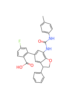 Cc1ccc(NC(=O)Nc2cc(-c3cc(F)ccc3C(=O)O)cc3c2OCC3c2ccccc2)cc1